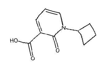 O=C(O)c1cccn(C2CCC2)c1=O